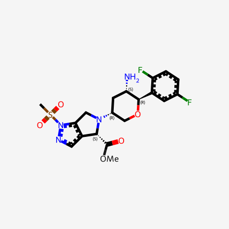 COC(=O)[C@@H]1c2cnn(S(C)(=O)=O)c2CN1[C@H]1CO[C@H](c2cc(F)ccc2F)[C@@H](N)C1